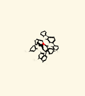 CC(C)(C)c1ccc(-c2cc(-c3ccc(C(C)(C)C)cc3)cc(-n3c4ccccc4c4ccc5c6ccccc6n(-c6cc7c8c(c6)N(c6ccc(C(C)(C)C)cc6)c6ccc(C(C)(C)C)cc6B8c6cc(C(C)(C)C)ccc6O7)c5c43)c2)cc1